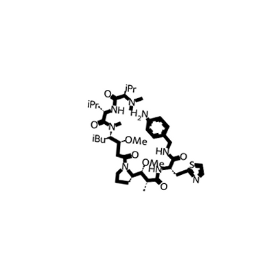 CC[C@H](C)[C@@H]([C@@H](CC(=O)N1CCC[C@H]1[C@H](OC)[C@@H](C)C(=O)N[C@@H](Cc1nccs1)C(=O)NCc1ccc(N)cc1)OC)N(C)C(=O)[C@@H](NC(=O)[C@H](C(C)C)N(C)C)C(C)C